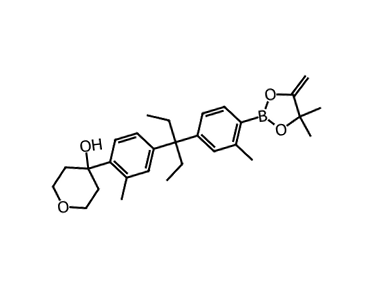 C=C1OB(c2ccc(C(CC)(CC)c3ccc(C4(O)CCOCC4)c(C)c3)cc2C)OC1(C)C